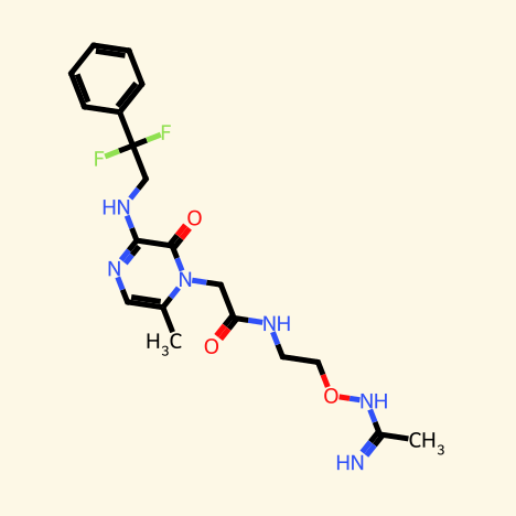 CC(=N)NOCCNC(=O)Cn1c(C)cnc(NCC(F)(F)c2ccccc2)c1=O